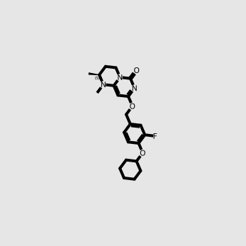 C[C@H]1CCn2c(cc(OCc3ccc(OC4CCCCC4)c(F)c3)nc2=O)N1C